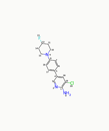 Nc1ncc(-c2ccc(N3CCC(F)CC3)cc2)cc1Cl